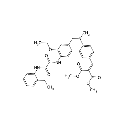 CCOc1cc(CN(C)c2ccc(C=C(C(=O)OC)C(=O)OC)cc2)ccc1NC(=O)C(=O)Nc1ccccc1CC